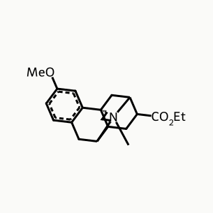 CCOC(=O)C1C[C@]23CCC[C@]24CC1N(C)C3Cc1ccc(OC)cc14